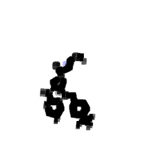 C/C=C/C(=O)N1C[C@@H](Nc2ncc(F)cn2)[C@H](OCc2ccc(C(F)(F)F)cc2)C1